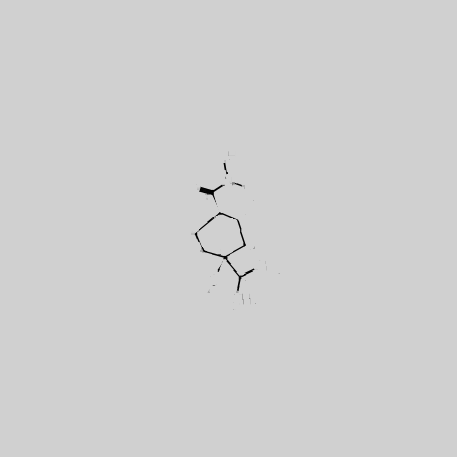 CC(C)[C@]1(O)CC[C@@H](C(=O)N(C)C)CC1